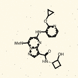 CNc1cc(Nc2cccnc2OC2CC2)nc2c(C(=O)N[C@H]3CCC3O)cnn12